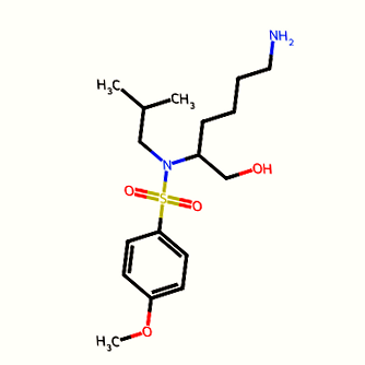 COc1ccc(S(=O)(=O)N(CC(C)C)C(CO)CCCCN)cc1